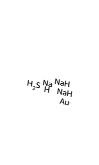 S.[Au].[NaH].[NaH].[NaH]